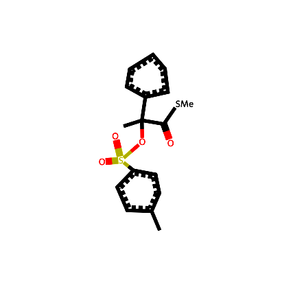 CSC(=O)C(C)(OS(=O)(=O)c1ccc(C)cc1)c1ccccc1